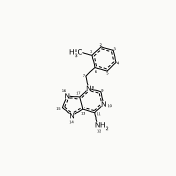 Cc1ccccc1Cn1cnc(N)c2ncnc1-2